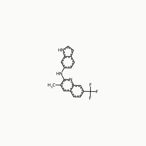 Cc1cc2ccc(C(F)(F)F)cc2nc1Nc1ccc2cc[nH]c2c1